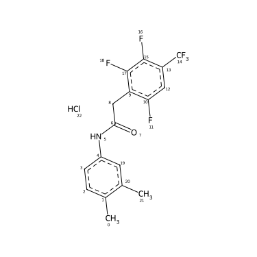 Cc1ccc(NC(=O)Cc2c(F)cc(C(F)(F)F)c(F)c2F)cc1C.Cl